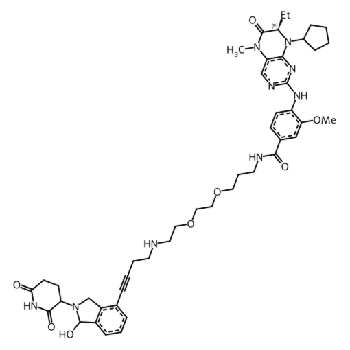 CC[C@@H]1C(=O)N(C)c2cnc(Nc3ccc(C(=O)NCCCOCCOCCNCCC#Cc4cccc5c4CN(C4CCC(=O)NC4=O)C5O)cc3OC)nc2N1C1CCCC1